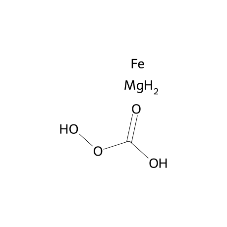 O=C(O)OO.[Fe].[MgH2]